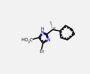 CCc1nc([C@H](C)c2ccccc2)[nH]c1C(=O)O